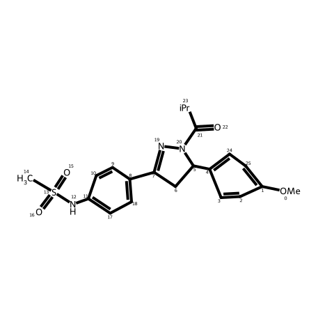 COc1ccc(C2CC(c3ccc(NS(C)(=O)=O)cc3)=NN2C(=O)C(C)C)cc1